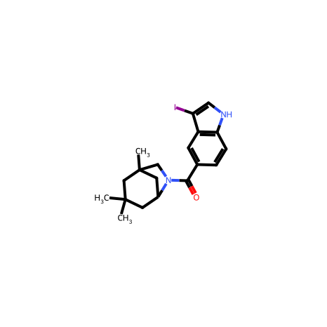 CC1(C)CC2CC(C)(CN2C(=O)c2ccc3[nH]cc(I)c3c2)C1